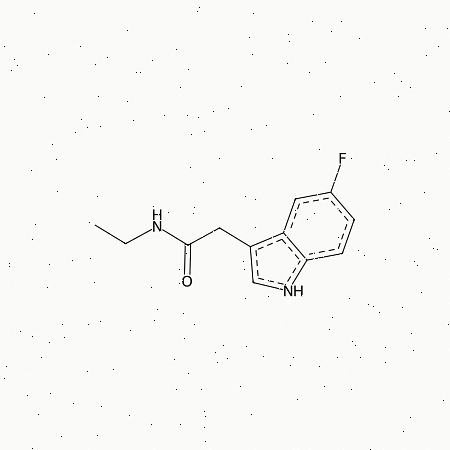 CCNC(=O)Cc1c[nH]c2ccc(F)cc12